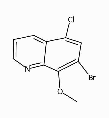 COc1c(Br)cc(Cl)c2cccnc12